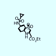 CCOC(=O)CC1=CS(=O)(=O)c2cc(NS(=O)(=O)C3CC3)ccc2N1